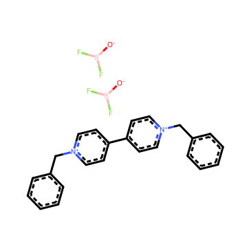 [O-]B(F)F.[O-]B(F)F.c1ccc(C[n+]2ccc(-c3cc[n+](Cc4ccccc4)cc3)cc2)cc1